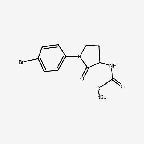 CC(C)(C)OC(=O)NC1CCN(c2ccc(Br)cc2)C1=O